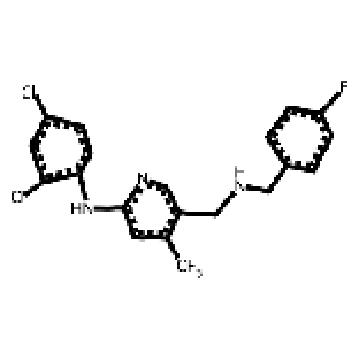 Fc1ccc(CNCc2cnc(Nc3ccc(Cl)cc3Cl)cc2C(F)(F)F)cc1